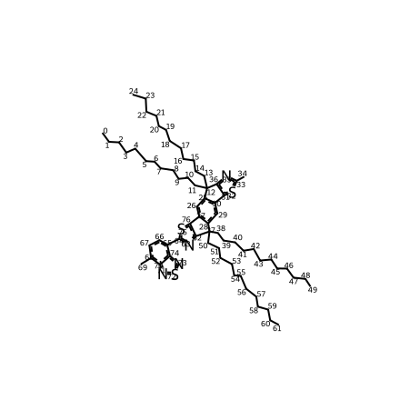 CCCCCCCCCCCCC1(CCCCCCCCCCCC)c2cc3c(cc2-c2sc(C)nc21)C(CCCCCCCCCCCC)(CCCCCCCCCCCC)c1nc(-c2ccc(C)c4nsnc24)sc1-3